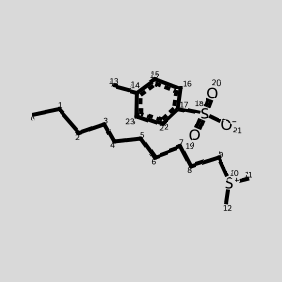 CCCCCCCCCC[S+](C)C.Cc1ccc(S(=O)(=O)[O-])cc1